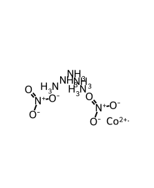 N.N.N.N.N.O=[N+]([O-])[O-].O=[N+]([O-])[O-].[Co+2]